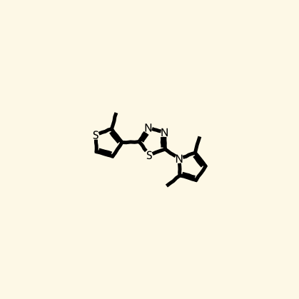 Cc1sccc1-c1nnc(-n2c(C)ccc2C)s1